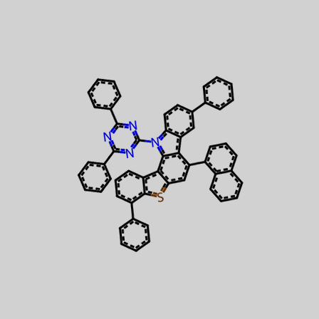 c1ccc(-c2ccc3c(c2)c2c(-c4cccc5ccccc45)cc4sc5c(-c6ccccc6)cccc5c4c2n3-c2nc(-c3ccccc3)nc(-c3ccccc3)n2)cc1